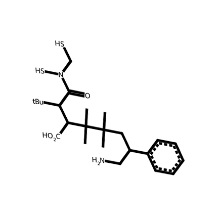 CC(C)(C)C(C(=O)N(S)CS)C(C(=O)O)C(C)(C)C(C)(C)CC(CN)c1ccccc1